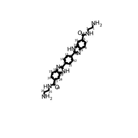 NCCNC(=O)c1ccc2nc(-c3ccc(-c4nc5ccc(C(=O)NCCN)cc5[nH]4)cc3)[nH]c2c1